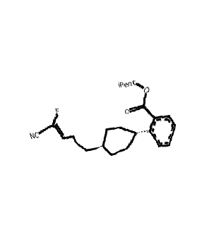 CCCC(C)OC(=O)c1ccccc1[C@H]1CC[C@H](CCC=C(F)C#N)CC1